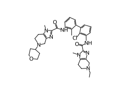 CCN1CCc2c(nc(C(=O)Nc3cccc(-c4cccc(NC(=O)c5nc6c(n5C)CCN(C5CCOCC5)C6)c4C)c3Cl)n2C)C1